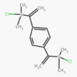 C=C(c1ccc(C(=C)[Si](C)(C)Cl)cc1)[Si](C)(C)Cl